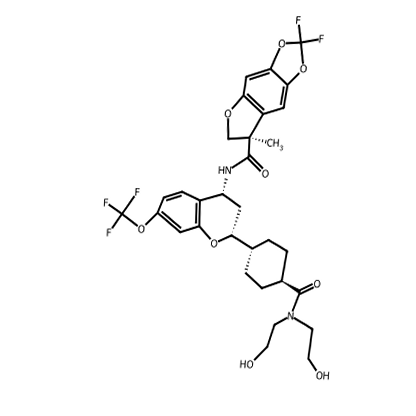 C[C@]1(C(=O)N[C@@H]2C[C@H]([C@H]3CC[C@H](C(=O)N(CCO)CCO)CC3)Oc3cc(OC(F)(F)F)ccc32)COc2cc3c(cc21)OC(F)(F)O3